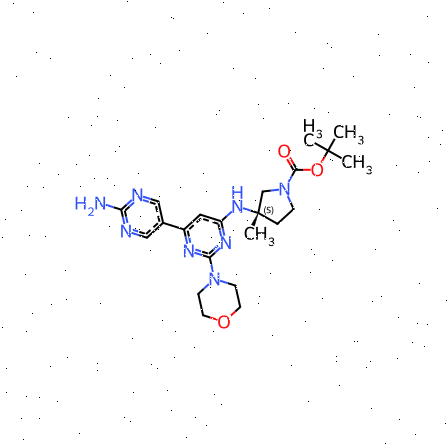 CC(C)(C)OC(=O)N1CC[C@](C)(Nc2cc(-c3cnc(N)nc3)nc(N3CCOCC3)n2)C1